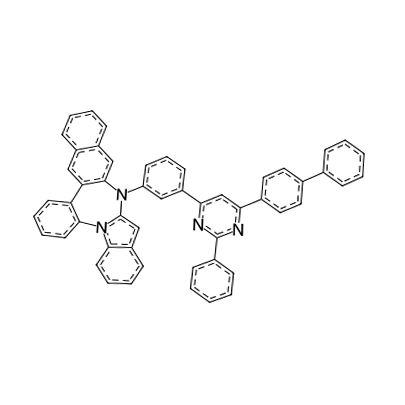 c1ccc(-c2ccc(-c3cc(-c4cccc(N5c6cc7ccccc7cc6-c6ccccc6-n6c5cc5ccccc56)c4)nc(-c4ccccc4)n3)cc2)cc1